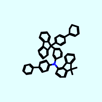 CC1(C)c2ccccc2-c2c(N(c3ccc(-c4ccccc4)cc3)c3cccc(C4(c5ccc(C6=CC=CCC6)cc5)c5ccccc5-c5ccccc54)c3)cccc21